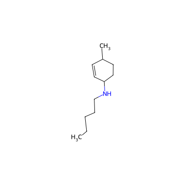 CCCCCNC1C=CC(C)CC1